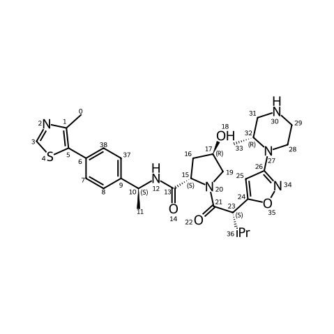 Cc1ncsc1-c1ccc([C@H](C)NC(=O)[C@@H]2C[C@@H](O)CN2C(=O)[C@H](c2cc(N3CCNC[C@H]3C)no2)C(C)C)cc1